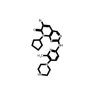 Cc1nc(Nc2ncc3cc(Br)c(=O)n(C4CCCC4)c3n2)ccc1N1CCNCC1